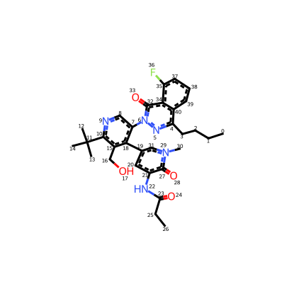 CCCCc1nn(-c2cnc(C(C)(C)C)c(CO)c2-c2cc(NC(=O)CC)c(=O)n(C)c2)c(=O)c2c(F)cccc12